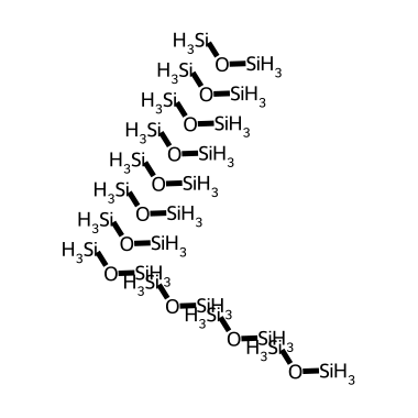 [SiH3]O[SiH3].[SiH3]O[SiH3].[SiH3]O[SiH3].[SiH3]O[SiH3].[SiH3]O[SiH3].[SiH3]O[SiH3].[SiH3]O[SiH3].[SiH3]O[SiH3].[SiH3]O[SiH3].[SiH3]O[SiH3].[SiH3]O[SiH3]